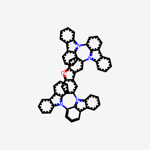 C1=C=C(n2c3ccccc3c3ccccc32)c2c(c3ccccc3n2-c2ccc3oc4ccc(-n5c6ccccc6c6cccc(-n7c8ccccc8c8ccccc87)c65)cc4c3c2)C=1